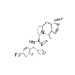 C[C@@H]1CC[C@H](C(=O)N[C@@H](c2ccc(C(F)(F)F)cc2F)C2COC2)N1C(=O)c1ccnc(C(C)(C)C)c1